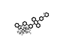 BC(B)(B)C(B)(B)c1nc2ccccc2n1-c1cccc(-c2cccc(-c3c4ccccc4c(-c4ccc(-c5ccccn5)cc4)c4ccccc34)c2)c1